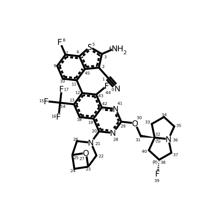 N#Cc1c(N)sc2c(F)ccc(-c3c(C(F)(F)F)cc4c(N5CC6CC(C5)O6)nc(OC[C@@]56CCCN5C[C@H](F)C6)nc4c3F)c12